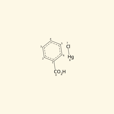 O=C(O)c1ccccc1.[Cl][Hg]